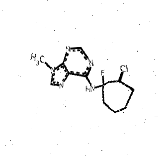 Cn1cnc2c(NC3(F)CCCC[C]3Cl)ncnc21